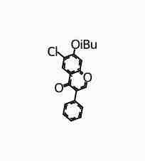 CC(C)COc1cc2occ(-c3ccccc3)c(=O)c2cc1Cl